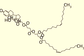 CCCCCCCC/C=C\CCCCCCCC(=O)OCC(COC(=O)CCC(=O)OCC(=O)C1CCC2C3CCC4=CC(=O)C=CC4(C)C3C(O)CC12O)OC(=O)CCCCCCC/C=C\CCCCCCCC